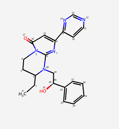 CCC1CCn2c(nc(-c3ccncn3)cc2=O)N1C[C@H](O)c1ccccc1